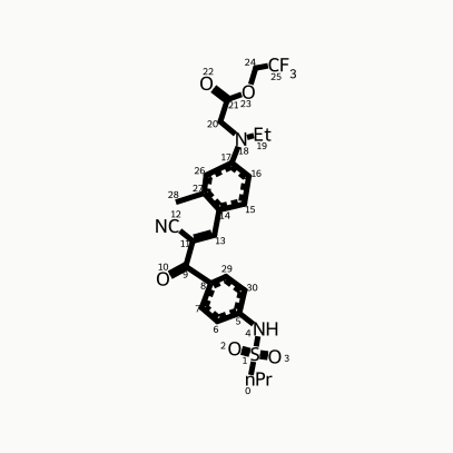 CCCS(=O)(=O)Nc1ccc(C(=O)C(C#N)=Cc2ccc(N(CC)CC(=O)OCC(F)(F)F)cc2C)cc1